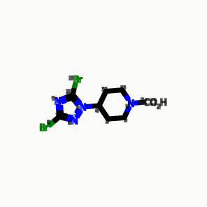 O=C(O)N1CCC(n2nc(Br)nc2Br)CC1